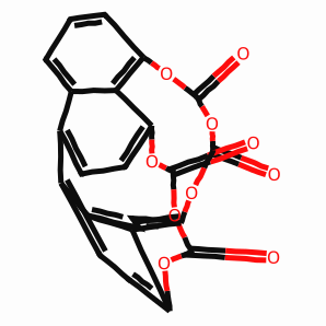 O=c1oc(=O)oc2cccc3c4ccc(oc(=O)oc(=O)oc5ccc4c4cccc(o1)c54)c23